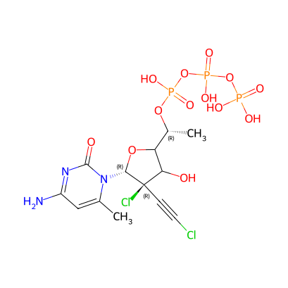 Cc1cc(N)nc(=O)n1[C@@H]1OC([C@@H](C)OP(=O)(O)OP(=O)(O)OP(=O)(O)O)C(O)[C@]1(Cl)C#CCl